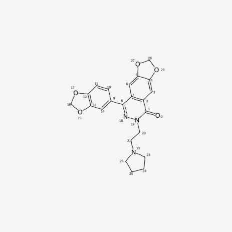 O=c1c2cc3c(cc2c(-c2ccc4c(c2)OCO4)nn1CCN1CCCC1)OCO3